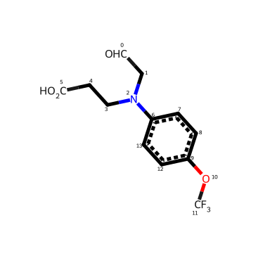 O=CCN(CCC(=O)O)c1ccc(OC(F)(F)F)cc1